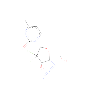 Cc1ccn([C@@H]2O[C@@](CO)(N=[N+]=[N-])[C@@H](O)C2(F)F)c(=O)n1